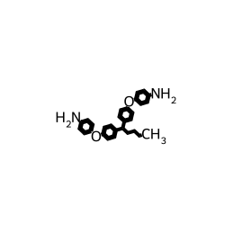 CCCCC(c1ccc(Oc2ccc(N)cc2)cc1)c1ccc(Oc2ccc(N)cc2)cc1